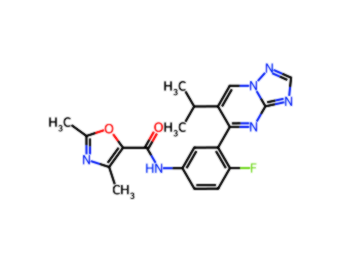 Cc1nc(C)c(C(=O)Nc2ccc(F)c(-c3nc4ncnn4cc3C(C)C)c2)o1